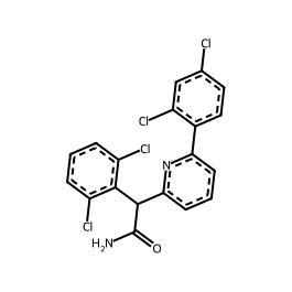 NC(=O)C(c1cccc(-c2ccc(Cl)cc2Cl)n1)c1c(Cl)cccc1Cl